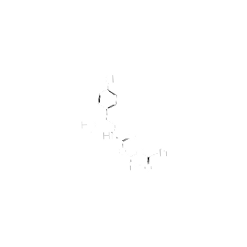 [CH2][C@@H](CNC(=O)O[C@@H](OC(=O)C(C)C)C(C)C)c1ccc(Cl)cc1